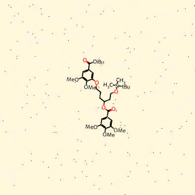 COc1cc(C(=O)OC(CCCOc2cc(C(=O)OCC(C)C)cc(OC)c2OC)CCO[Si](C)(C)C(C)(C)C)cc(OC)c1OC